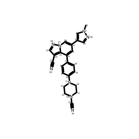 Cn1cc(-c2cc(-c3ccc(N4CCN(C#N)CC4)cc3)c3c(C#N)cnn3c2)cn1